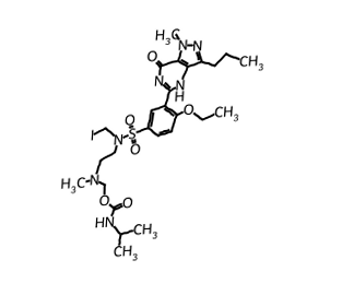 CCCc1nn(C)c2c(=O)nc(-c3cc(S(=O)(=O)N(CI)CCN(C)COC(=O)NC(C)C)ccc3OCC)[nH]c12